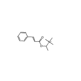 CC(OC(=O)C=Cc1ccccc1)[N+](C)(C)C